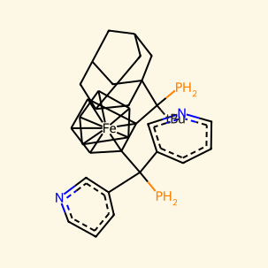 CC(C)(C)C(P)(C12CC3CC(CC(C3)C1)C2)[C]12[CH]3[CH]4[CH]5[C]1(C(P)(c1cccnc1)c1cccnc1)[Fe]45321678[CH]2[CH]1[CH]6[CH]7[CH]28